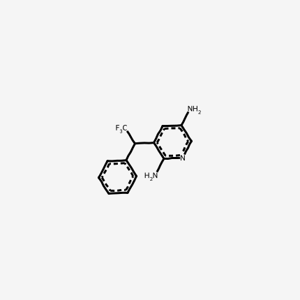 Nc1cnc(N)c(C(c2ccccc2)C(F)(F)F)c1